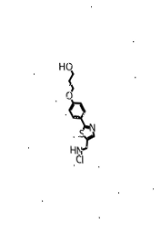 OCCCOc1ccc(-c2ncc(CNCl)s2)cc1